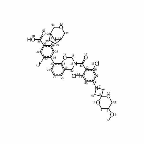 COC1COC2(CN(c3cc(Cl)c(C(=O)N4COc5c(cccc5-c5cc(N6C7CCC6COC7)c(C(=O)O)cc5F)C4)c(Cl)c3)C2)OC1